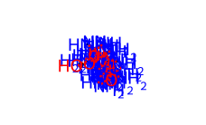 N=C(N)NCCC[C@H](NC(=O)[C@H](CCCNC(=N)N)NC(=O)[C@H](CCCNC(=N)N)NC(=O)[C@H](CCC(N)=O)NC(=O)[C@H](CCCNC(=N)N)NC(=O)[C@H](CCCNC(=N)N)NC(=O)[C@H](CCCNC(=N)N)NC(=O)[C@H](CCCNC(=N)N)NC(=O)[C@H](CCCNC(=N)N)NC(=O)[C@H](CCCNC(=N)N)NC(=O)CNC(=O)[C@@H](N)Cc1ccc(O)cc1)C(N)=O